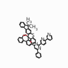 CC1(C)c2ccccc2-c2cc3c(cc21)Sc1ccccc1C31c2ccccc2-c2ccccc2-c2ccc(-c3cc(-c4ccccc4)nc(-c4ccc(-c5cccnc5)nc4)n3)cc21